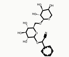 N#CC(OC1O[C@H](CO[C@@H]2OC[C@H](O)[C@H](O)[C@H]2O)[C@@H](O)[C@H](O)[C@H]1O)c1ccccc1